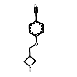 N#Cc1ccc(OCC2CNC2)cc1